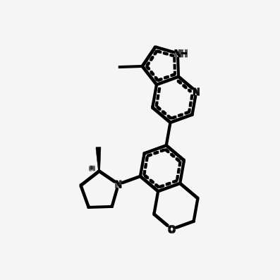 Cc1c[nH]c2ncc(-c3cc4c(c(N5CCC[C@H]5C)c3)COCC4)cc12